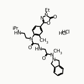 CCn1nc(-c2ccc(N(CCNC(C)C)C(=O)CNCC(=O)N(C)N3Cc4ccccc4C3)c(C)c2)oc1=O.Cl.Cl